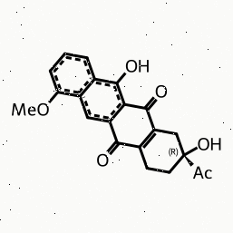 COc1cccc2c(O)c3c(cc12)C(=O)C1=C(C[C@@](O)(C(C)=O)CC1)C3=O